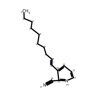 CCCCCCCC/C=C/c1cccnc1C#N